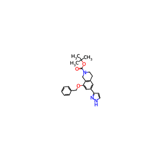 CC(C)(C)OC(=O)N1CCc2cc(-c3cc[nH]n3)cc(OCc3ccccc3)c2C1